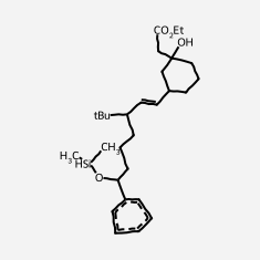 CCOC(=O)CC1(O)CCCC(C=CC(CCCC(O[SiH](C)C)c2ccccc2)C(C)(C)C)C1